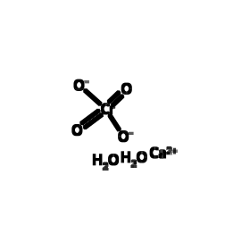 O.O.[Ca+2].[O]=[Cr](=[O])([O-])[O-]